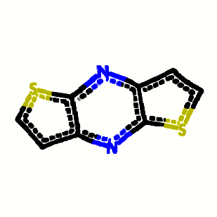 c1cc2nc3sccc3nc2s1